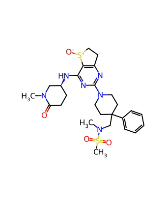 CN1C[C@@H](Nc2nc(N3CCC(CN(C)S(C)(=O)=O)(c4ccccc4)CC3)nc3c2[S+]([O-])CC3)CCC1=O